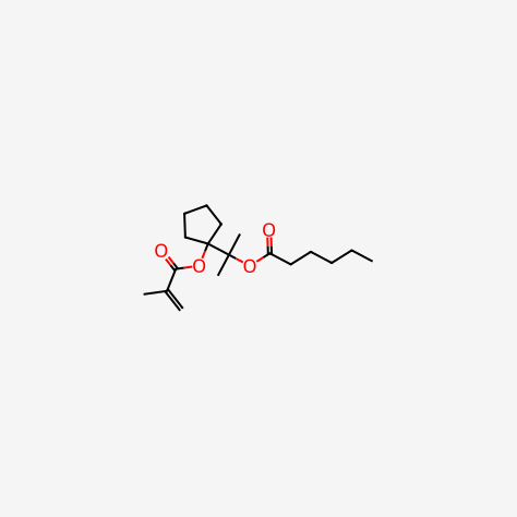 C=C(C)C(=O)OC1(C(C)(C)OC(=O)CCCCC)CCCC1